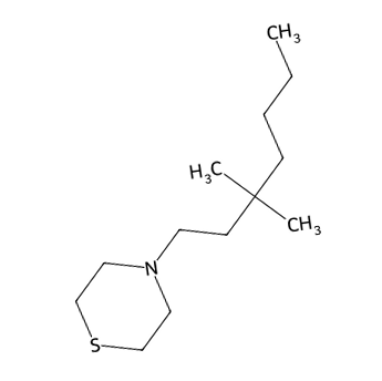 CCCCC(C)(C)CCN1CCSCC1